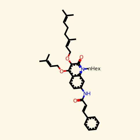 CCCCCCn1c(=O)c(OC/C=C(\C)CCC=C(C)C)c(OCC=C(C)C)c2ccc(NC(=O)C=Cc3ccccc3)cc21